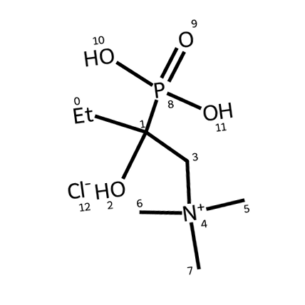 CCC(O)(C[N+](C)(C)C)P(=O)(O)O.[Cl-]